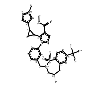 COC(=O)c1cnn(-c2cccc(CN3C[C@@H](C)Cc4cc(C(F)(F)F)ccc4S3(=O)=O)c2)c1C1CC1c1cnn(C)c1